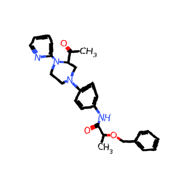 CC(=O)C1CN(c2ccc(NC(=O)C(C)OCc3ccccc3)cc2)CCN1c1ccccn1